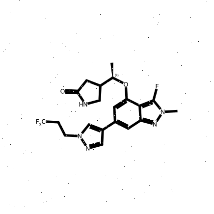 C[C@@H](Oc1cc(-c2cnn(CCC(F)(F)F)c2)cc2nn(C)c(F)c12)C1CNC(=O)C1